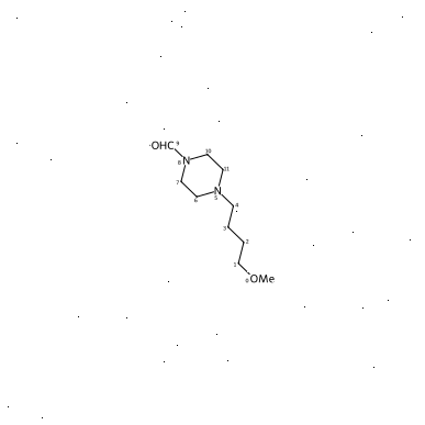 COCCCCN1CCN([C]=O)CC1